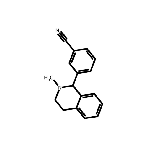 CN1CCc2ccccc2C1c1cccc(C#N)c1